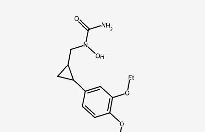 CCOc1ccc(C2CC2CN(O)C(N)=O)cc1OCC